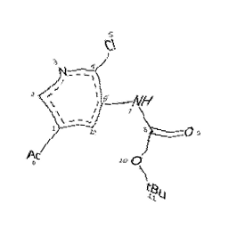 CC(=O)c1cnc(Cl)c(NC(=O)OC(C)(C)C)c1